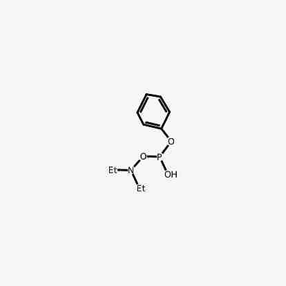 CCN(CC)OP(O)Oc1ccccc1